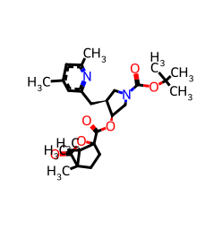 Cc1cc(C)nc(C[C@H]2CN(C(=O)OC(C)(C)C)C[C@H]2OC(=O)C23CCC(C)(C(=O)O2)C3(C)C)c1